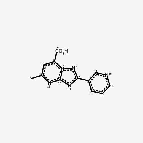 Cc1cc(C(=O)O)n2nc(-c3cccnc3)nc2n1